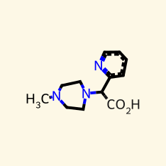 CN1CCN(C(C(=O)O)c2ccccn2)CC1